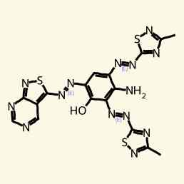 Cc1nsc(/N=N/c2cc(/N=N/c3snc4ncncc34)c(O)c(/N=N/c3nc(C)ns3)c2N)n1